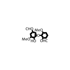 COc1cc(C=O)ccc1O.COc1cccc(C=O)c1O